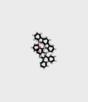 c1ccc(-c2nc3cccc(-n4c5ccccc5c5ccc6c7ccccc7n(-c7ccccc7)c6c54)c3nc2-c2ccccc2)cc1